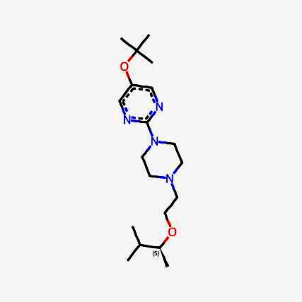 CC(C)[C@H](C)OCCN1CCN(c2ncc(OC(C)(C)C)cn2)CC1